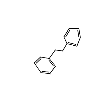 [c]1c[c]cc(CCc2ccccc2)c1